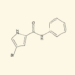 O=C(Nc1ccccc1)c1cc(Br)c[nH]1